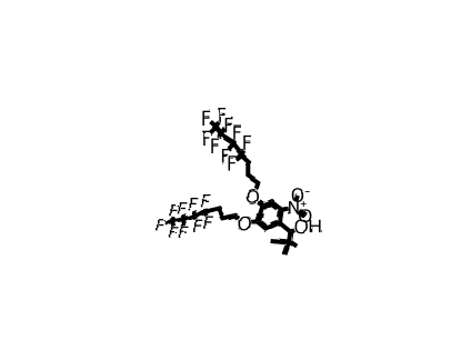 CC(C)(C)C(O)c1cc(OCCCC(F)(F)C(F)(F)C(F)(F)C(F)(F)F)c(OCCCC(F)(F)C(F)(F)C(F)(F)C(F)(F)F)cc1[N+](=O)[O-]